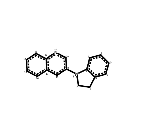 c1ccc2c(c1)CCN2c1cnc2ccccc2c1